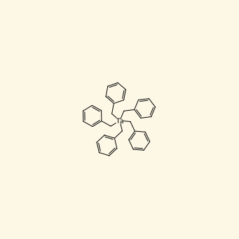 c1ccc([CH2][Ta]([CH2]c2ccccc2)([CH2]c2ccccc2)([CH2]c2ccccc2)[CH2]c2ccccc2)cc1